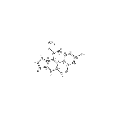 CC(C)N(CC(F)(F)F)c1c(-c2c(F)cc(F)cc2F)c(Cl)nc2ncnn12